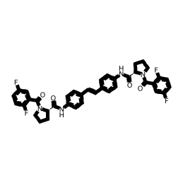 O=C(Nc1ccc(/C=C/c2ccc(NC(=O)[C@@H]3CCCN3C(=O)c3cc(F)ccc3F)cc2)cc1)[C@@H]1CCCN1C(=O)c1cc(F)ccc1F